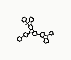 CC1(c2ccccc2)C2=CC3C(C=C2c2ccccc21)c1cc(-c2ccc4c(c2)c2ccccc2n4-c2ccccc2)ccc1N3c1ccc(C2C=CC=CC2)cc1